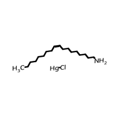 CCCCCCCC/C=C\CCCCCCCCN.[Cl][Hg]